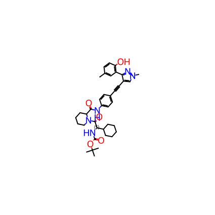 Cc1ccc(O)c(-c2nn(C)cc2C#Cc2ccc(NC(=O)C3CCCCN3C(=O)[C@@H](NC(=O)OC(C)(C)C)C3CCCCC3)cc2)c1